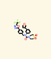 O=C(N1CCS(=O)(=O)CC1)N(Cc1ccc(-c2nnc(C(F)(F)F)o2)cc1)c1cccc(-c2ccoc2)c1